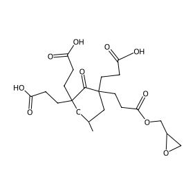 CC1CC(CCC(=O)O)(CCC(=O)O)C(=O)C(CCC(=O)O)(CCC(=O)OCC2CO2)C1